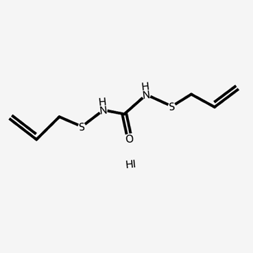 C=CCSNC(=O)NSCC=C.I